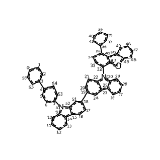 c1ccc(-c2ccc(-n3c4ccccc4c4ccc(-c5ccc6c(c5)c5ccccc5n6-c5ccc(-c6ccccc6)c6c5oc5ccccc56)cc43)cc2)cc1